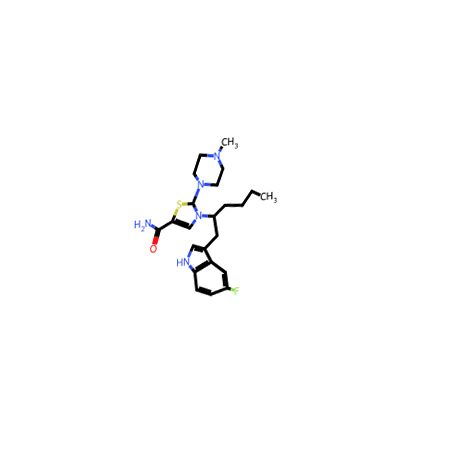 CCCCC(Cc1c[nH]c2ccc(F)cc12)N1C=C(C(N)=O)SC1N1CCN(C)CC1